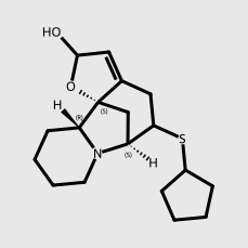 OC1C=C2CC(SC3CCCC3)[C@@H]3C[C@@]2(O1)[C@H]1CCCCN31